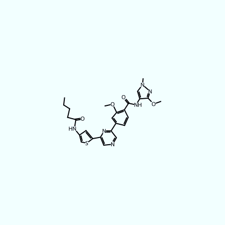 CCCCC(=O)Nc1csc(-c2cncc(-c3ccc(C(=O)Nc4cn(C)nc4OC)c(OC)c3)n2)c1